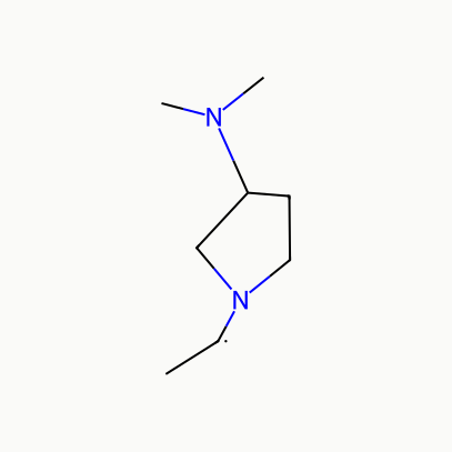 C[CH]N1CCC(N(C)C)C1